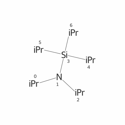 CC(C)N(C(C)C)[Si](C(C)C)(C(C)C)C(C)C